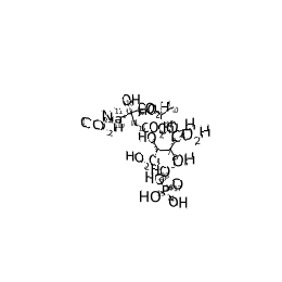 CC(O)C(=O)O.O=C(O)C(O)C(O)C(=O)O.O=C(O)CC(O)(CC(=O)O)C(=O)O.O=P(O)(O)O.[Na+].[OH-]